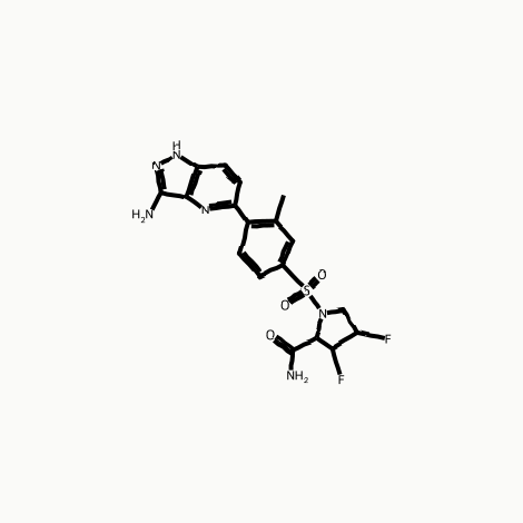 Cc1cc(S(=O)(=O)N2CC(F)C(F)C2C(N)=O)ccc1-c1ccc2[nH]nc(N)c2n1